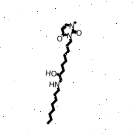 CCCCCCCCNCC(O)CCCCCCCn1c(=O)ccn(C)c1=O